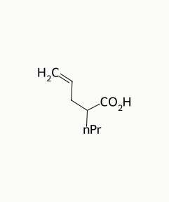 C=CCC(CCC)C(=O)O